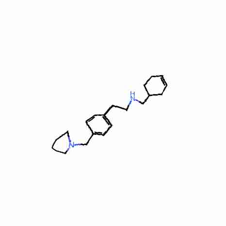 C1=CCC(CNCCc2ccc(CN3CCCC3)cc2)CC1